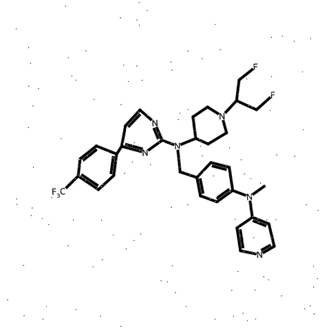 CN(c1ccncc1)c1ccc(CN(c2nccc(-c3ccc(C(F)(F)F)cc3)n2)C2CCN(C(CF)CF)CC2)cc1